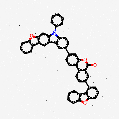 O=c1oc2cc(-c3ccc4c(c3)c3cc5c(cc3n4-c3ccccc3)oc3ccccc35)ccc2c2ccc(-c3cccc4oc5ccccc5c34)cc12